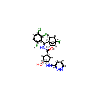 O=C(N[C@H](c1c(F)ccc(Cl)c1F)C12CCC(F)(CC1)C2)[C@@H]1C[C@@H](O)[C@@H](Nc2cccnn2)C1